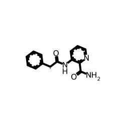 NC(=O)c1ncccc1NC(=O)[CH]c1ccccc1